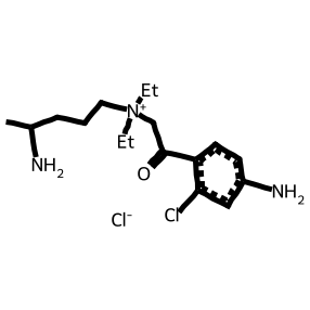 CC[N+](CC)(CCCC(C)N)CC(=O)c1ccc(N)cc1Cl.[Cl-]